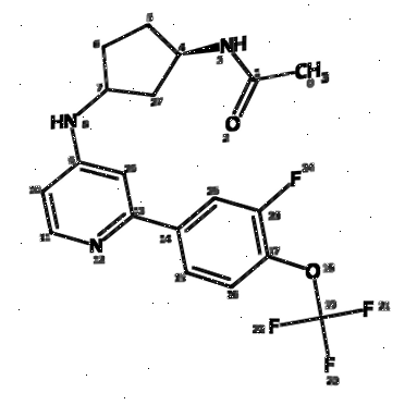 CC(=O)N[C@@H]1CCC(Nc2ccnc(-c3ccc(OC(F)(F)F)c(F)c3)c2)C1